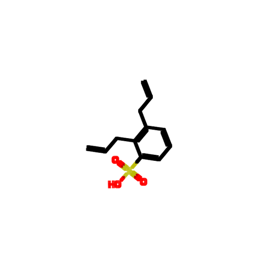 C=CCc1cccc(S(=O)(=O)O)c1CC=C